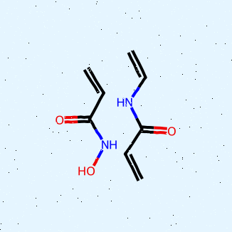 C=CC(=O)NO.C=CNC(=O)C=C